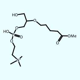 COC(=O)CCCCOC(CO)COP(=O)(O)OCC[N+](C)(C)C